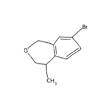 CC1COCc2cc(Br)ccc21